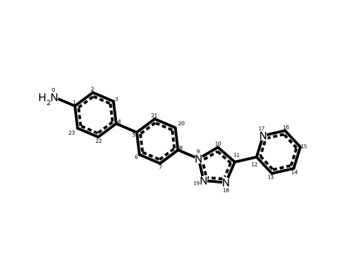 Nc1ccc(-c2ccc(-n3cc(-c4ccccn4)nn3)cc2)cc1